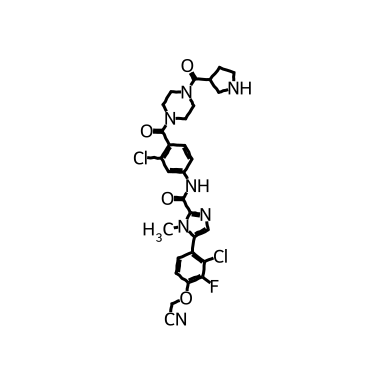 Cn1c(-c2ccc(OCC#N)c(F)c2Cl)cnc1C(=O)Nc1ccc(C(=O)N2CCN(C(=O)C3CCNC3)CC2)c(Cl)c1